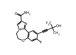 CC(O)(C#Cc1cc2c(cc1F)OCCn1cc(C(N)=O)nc1-2)C(F)(F)F